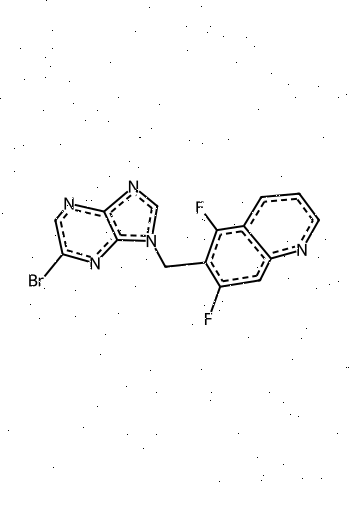 Fc1cc2ncccc2c(F)c1Cn1cnc2ncc(Br)nc21